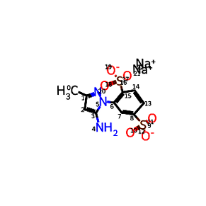 Cc1cc(N)n(-c2cc(S(=O)(=O)[O-])ccc2S(=O)(=O)[O-])n1.[Na+].[Na+]